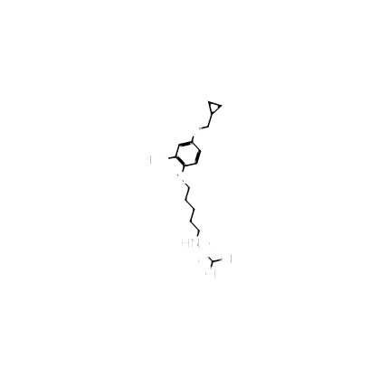 Cc1cc(OCC2CC2)ccc1NCCCCCNS(=O)(=O)C(C)C